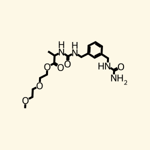 COCCOCCOC(=O)C(C)NC(=O)NCc1cccc(CNC(N)=O)c1